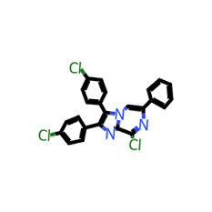 Clc1ccc(-c2nc3c(Cl)nc(-c4ccccc4)cn3c2-c2ccc(Cl)cc2)cc1